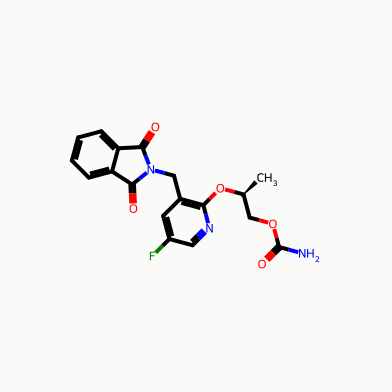 C[C@@H](COC(N)=O)Oc1ncc(F)cc1CN1C(=O)c2ccccc2C1=O